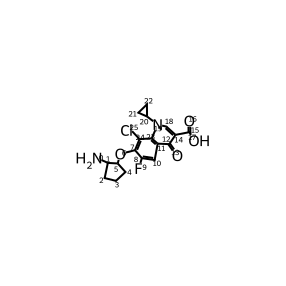 NC1CCCC1Oc1c(F)cc2c(=O)c(C(=O)O)cn(C3CC3)c2c1Cl